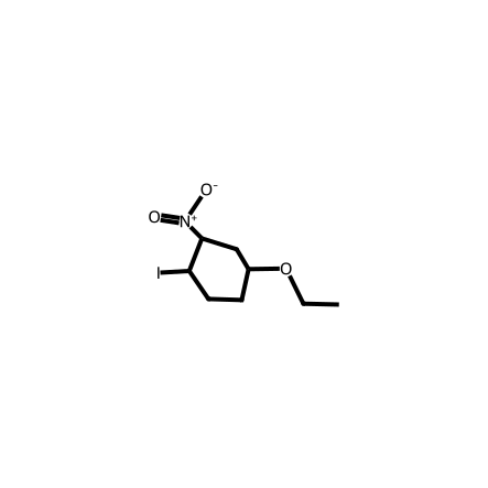 CCOC1CCC(I)C([N+](=O)[O-])C1